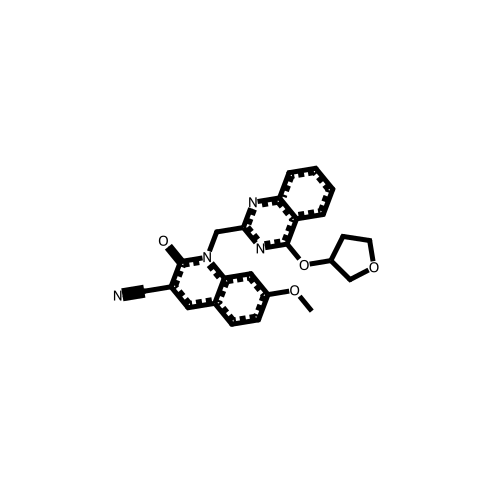 COc1ccc2cc(C#N)c(=O)n(Cc3nc(OC4CCOC4)c4ccccc4n3)c2c1